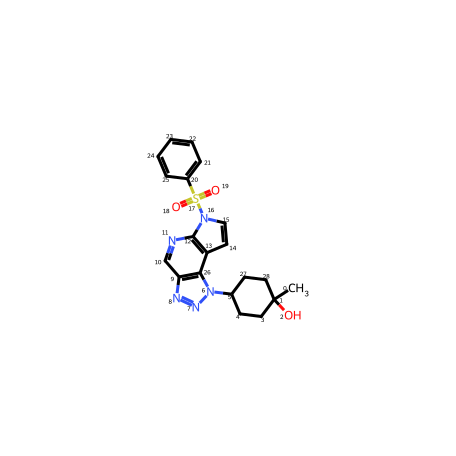 CC1(O)CCC(n2nnc3cnc4c(ccn4S(=O)(=O)c4ccccc4)c32)CC1